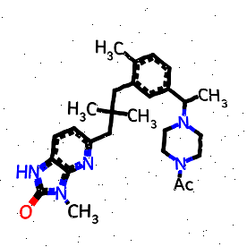 CC(=O)N1CCN(C(C)c2ccc(C)c(CC(C)(C)Cc3ccc4[nH]c(=O)n(C)c4n3)c2)CC1